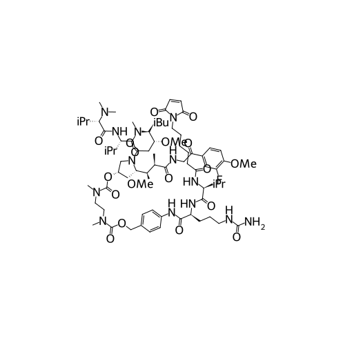 CC[C@H](C)[C@@H]([C@@H](CC(=O)N1C[C@@H](OC(=O)N(C)CCN(C)C(=O)OCc2ccc(NC(=O)[C@H](CCCNC(N)=O)NC(=O)[C@@H](NC(=O)CCCCCN3C(=O)C=CC3=O)C(C)C)cc2)C[C@H]1[C@H](OC)[C@@H](C)C(=O)NCC(=O)c1ccc(OC)c(F)c1)OC)N(C)C(=O)[C@@H](NC(=O)[C@H](C(C)C)N(C)C)C(C)C